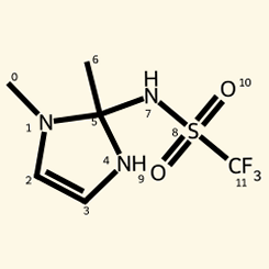 CN1C=CNC1(C)NS(=O)(=O)C(F)(F)F